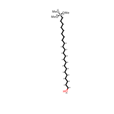 CO[Si](CCCCCCCCCCCCCCCCCCCCCCCO)(OC)OC